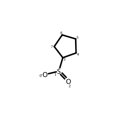 [O]S(=O)C1CCCC1